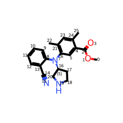 COC(=O)c1cc(N(c2ccccc2C#N)[C@H]2CCNC2)c(C)cc1C